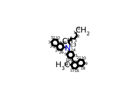 C=C/C=C\C=C/CN(c1ccc(-c2c(C)ccc3ccccc23)cc1)c1ccc2ccccc2c1C